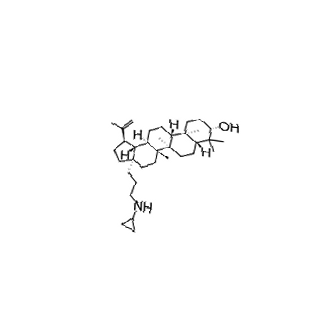 C=C(C)[C@@H]1CC[C@]2(CCCNC3CC3)CC[C@]3(C)[C@H](CC[C@@H]4[C@@]5(C)CC[C@H](O)C(C)(C)[C@@H]5CC[C@]43C)[C@@H]12